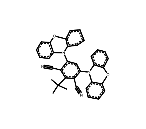 CC(C)(C)c1c(C#N)c(N2c3ccccc3Oc3ccccc32)cc(N2c3ccccc3Oc3ccccc32)c1C#N